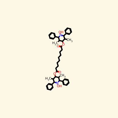 CC1C(OC(=O)CCCCCCCCC(=O)OC2C(C)C(c3ccccc3)N(O)C(c3ccccc3)C2C)C(C)C(c2ccccc2)N(O)C1c1ccccc1